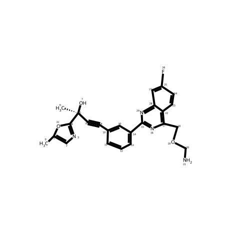 Cc1cnc([C@@](C)(O)C#Cc2cccc(-c3nc(COCN)c4ccc(F)cc4n3)c2)o1